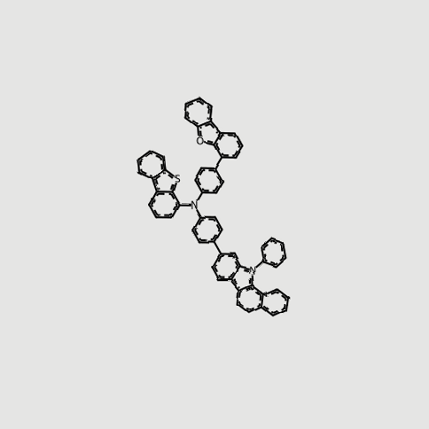 c1ccc(-n2c3cc(-c4ccc(N(c5ccc(-c6cccc7c6oc6ccccc67)cc5)c5cccc6c5sc5ccccc56)cc4)ccc3c3ccc4ccccc4c32)cc1